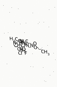 CCCCOC(=O)N1CCN(c2nc(=O)n(-c3c(C)ccnc3C(C)C)c3nc(Cl)c(F)cc23)[C@@H](C)C1